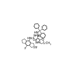 C[C@@H]1Cn2ncc([S@@](=O)(=NC(=O)Nc3c4c(c(F)c5c3C[C@@H](F)C5)CCC4)NC(c3ccccc3)(c3ccccc3)c3ccccc3)c2O1